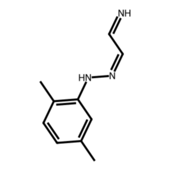 Cc1ccc(C)c(N/N=C\C=N)c1